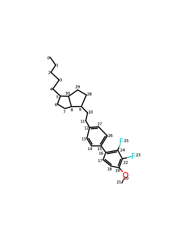 CCCCCC1CCC2C(CCc3ccc(-c4ccc(OC)c(F)c4F)cc3)CCC12